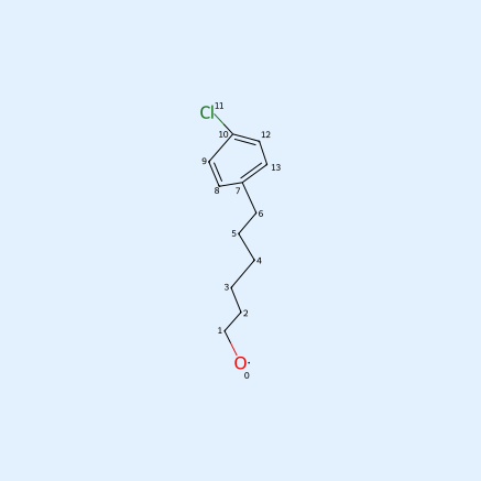 [O]CCCCCCc1ccc(Cl)cc1